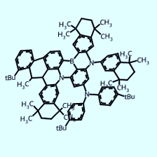 CC1c2c(cccc2C(C)(C)C)-c2ccc3c4c2C1c1cc2c(cc1N4c1cc(N(c4ccc(C(C)(C)C)cc4)c4ccc(C(C)(C)C)cc4)cc4c1B3c1cc3c(cc1N4c1ccc4c(c1)C(C)(C)CCC4(C)C)C(C)(C)CCC3(C)C)C(C)(C)CCC2(C)C